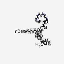 CCCCC/C=C\C/C=C\C/C=C\C/C=C\CCCC(=O)OC[C@H](COP(=O)([O-])OCC[N+](C)(C)C)OC(=O)CCCCCCCCCCCCCCCC